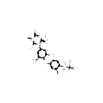 Cc1cc(Oc2c(Cl)cc(-n3c(=O)[nH]c(=O)n(C)c3=O)cc2Cl)ccc1S(=O)(=O)C(F)(F)F